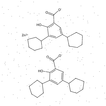 O=C([O-])c1cc(C2CCCCC2)cc(C2CCCCC2)c1O.O=C([O-])c1cc(C2CCCCC2)cc(C2CCCCC2)c1O.[Zn+2]